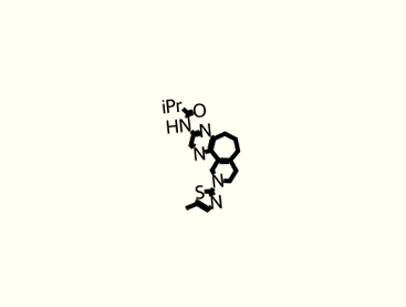 Cc1cnc(N2CCC3=C(C2)c2ncc(NC(=O)C(C)C)nc2CCC3)s1